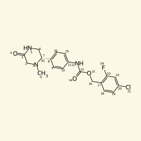 CN1CC(=O)NC[C@@H]1c1ccc(NC(=O)OCc2ccc(Cl)cc2F)cc1